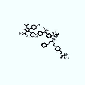 Cc1c(C(=O)O)c(N2CCN[C@H](c3ccc(N(c4ccc(N[C@H](CCN5CCC(COP(=O)(O)O)CC5)CSc5ccccc5)c(S(=O)(=O)C(F)(F)F)c4)[SH](=O)=O)cc3)C2)c(-c2ccc(Cl)cc2)n1C(C)C